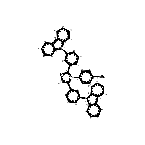 CCCCc1ccc(-n2c(-c3cccc(-n4c5ccccc5c5ccccc54)c3)nnc2-c2cccc(-n3c4ccccc4c4ccccc43)c2)cc1